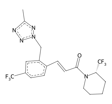 Cc1nnn(Cc2cc(C(F)(F)F)ccc2C=CC(=O)N2CCCC[C@H]2C(F)(F)F)n1